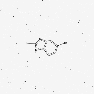 Brc1ccn2nc(I)nc2c1